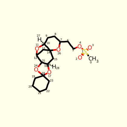 CS(=O)(=O)OCCC1CC[C@@H]2OC3CC2(C[C@H]2OC4(CCCCC4)OC32)O1